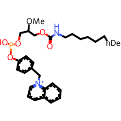 CCCCCCCCCCCCCCCCNC(=O)OCC(COP(O)Oc1ccc(C[n+]2cccc3ccccc32)cc1)OC